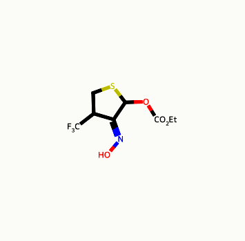 CCOC(=O)OC1SCC(C(F)(F)F)C1=NO